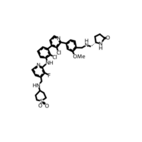 COc1cc(-c2nccc(-c3cccc(Nc4nccc(CNC5CCS(=O)(=O)CC5)c4F)c3Cl)c2Cl)ccc1CNC[C@@H]1CCC(=O)N1